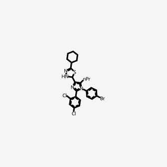 CCCc1c(C2NN=C(C3CCCCC3)S2)nc(-c2ccc(Cl)cc2Cl)n1-c1ccc(Br)cc1